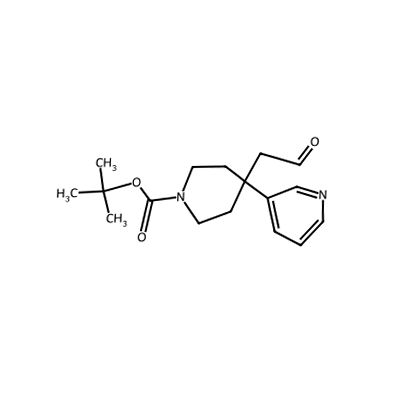 CC(C)(C)OC(=O)N1CCC(CC=O)(c2cccnc2)CC1